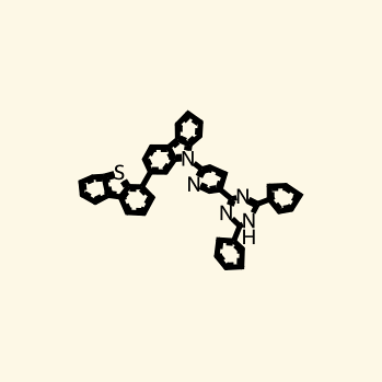 c1ccc(C2=NC(c3ccc(-n4c5ccccc5c5ccc(-c6cccc7c6sc6ccccc67)cc54)nc3)=NC(c3ccccc3)N2)cc1